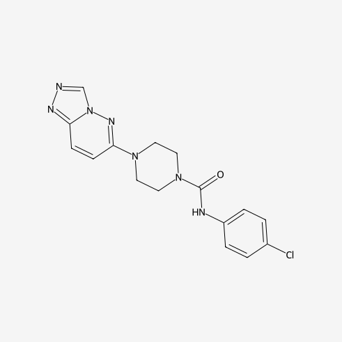 O=C(Nc1ccc(Cl)cc1)N1CCN(c2ccc3nncn3n2)CC1